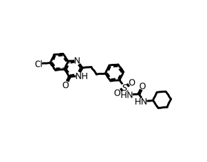 O=C(NC1CCCCC1)NS(=O)(=O)c1cccc(CCc2nc3ccc(Cl)cc3c(=O)[nH]2)c1